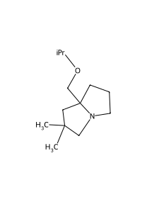 CC(C)OCC12CCCN1CC(C)(C)C2